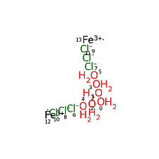 O.O.O.O.O.O.[Cl-].[Cl-].[Cl-].[Cl-].[Cl-].[Cl-].[Fe+3].[Fe+3]